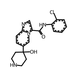 O=C(Nc1ccccc1Cl)c1cnc2ccc(C3(O)CCNCC3)cn12